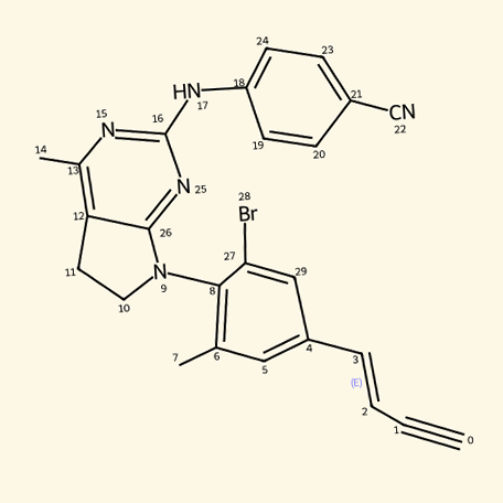 C#C/C=C/c1cc(C)c(N2CCc3c(C)nc(Nc4ccc(C#N)cc4)nc32)c(Br)c1